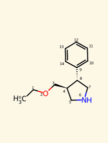 CCOC[C@@H]1CNC[C@H]1c1ccccc1